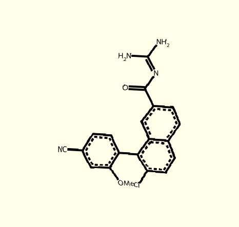 COc1cc(C#N)ccc1-c1c(Cl)ccc2ccc(C(=O)N=C(N)N)cc12